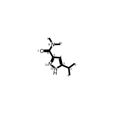 CC(C)c1cc(C(=O)N(C)C)n[nH]1